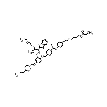 C=COCCCC(C)N(/N=C/c1cc(OCC2CCC(CCC)CC2)ccc1OCC1CCC(C(=O)Oc2ccc(OCCCCCCOC(=O)C=C)cc2)CC1)c1nc2ccccc2s1